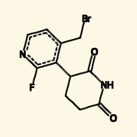 O=C1CCC(c2c(CBr)ccnc2F)C(=O)N1